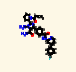 C=CC(=O)N1CCCC[C@H]1c1nc(-c2ccc(C(=O)Nc3cc(-c4ccc(F)cc4)ccn3)cc2)c(C(N)=O)n1N